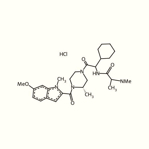 CNC(C)C(=O)NC(C(=O)N1CCN(C(=O)c2cc3ccc(OC)cc3n2C)[C@@H](C)C1)C1CCCCC1.Cl